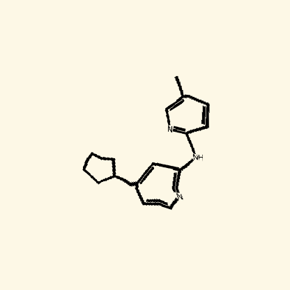 Cc1ccc(Nc2cc(C3CCCC3)ccn2)nc1